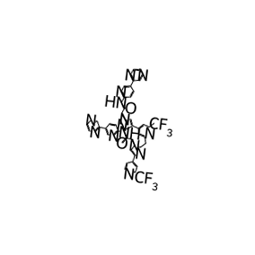 O=C(Cn1cc(-c2cc(Cc3nc(-c4ccnc(C(F)(F)F)c4)cn3CC(=O)Nc3ccc(-c4cnccn4)cn3)nc(C(F)(F)F)c2)cn1)Nc1ccc(-c2cnccn2)cn1